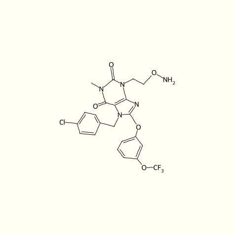 Cn1c(=O)c2c(nc(Oc3cccc(OC(F)(F)F)c3)n2Cc2ccc(Cl)cc2)n(CCON)c1=O